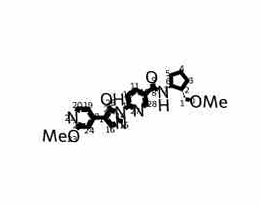 COC[C@H]1CCC[C@H]1NC(=O)c1ccc(-n2ncc(-c3ccnc(OC)c3)c2O)nc1